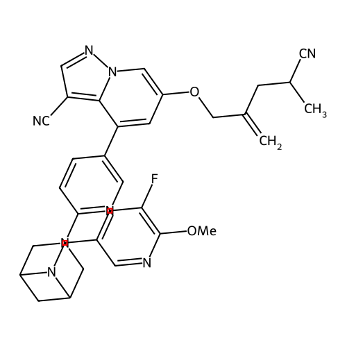 C=C(COc1cc(-c2ccc(N3CC4CC(C3)N4Cc3cnc(OC)c(F)c3)nc2)c2c(C#N)cnn2c1)CC(C)C#N